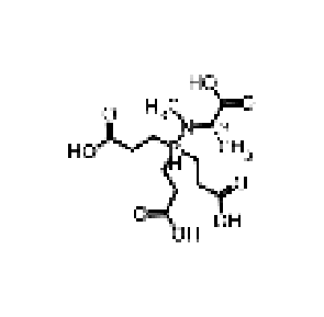 C[C@@H](C(=O)O)N(C)[PH](CCC(=O)O)(CCC(=O)O)CCC(=O)O